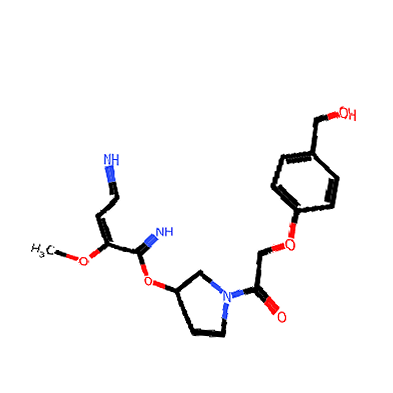 CO/C(=C/C=N)C(=N)OC1CCN(C(=O)COc2ccc(CO)cc2)C1